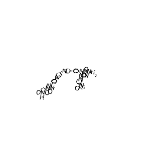 Cn1c(-c2ccc(N3CCC(CN4CCC(c5ccc(Nc6nc(N7CCC[C@H](N8CCCC8=O)C7)cnc6C(N)=O)cc5)CC4)CC3)cc2)nn(C2CCC(=O)NC2=O)c1=O